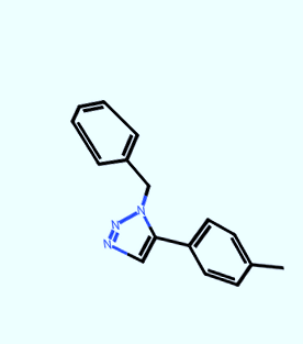 Cc1ccc(-c2cnnn2Cc2ccccc2)cc1